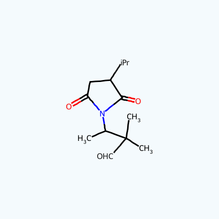 CC(C)C1CC(=O)N(C(C)C(C)(C)C=O)C1=O